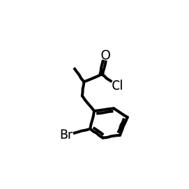 CC(Cc1ccccc1Br)C(=O)Cl